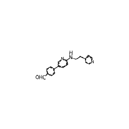 O=Cc1ccc(-c2ccc(NCCc3ccncc3)nc2)cc1